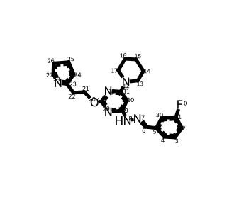 Fc1cccc(/C=N/Nc2cc(N3CCCCC3)nc(OCCc3ccccn3)n2)c1